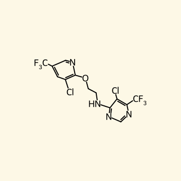 FC(F)(F)c1cnc(OCCNc2ncnc(C(F)(F)F)c2Cl)c(Cl)c1